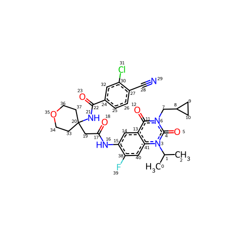 CC(C)n1c(=O)n(CC2CC2)c(=O)c2cc(NC(=O)CC3(NC(=O)c4ccc(C#N)c(Cl)c4)CCOCC3)c(F)cc21